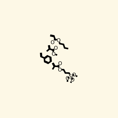 C=C(C)C(=O)OC.C=C(C)C(=O)OCCC[Si](OC)(OC)OC.C=CC(=O)OCCCC.C=Cc1ccccc1